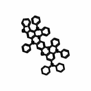 c1ccc(N2c3ccccc3B3c4cc5c(cc4Oc4cc(N(C6CCCCC6)C6CCCCC6)cc2c43)N(c2ccccc2)c2cc3oc4ccccc4c3c3c2B5c2ccccc2N3c2ccccc2)cc1